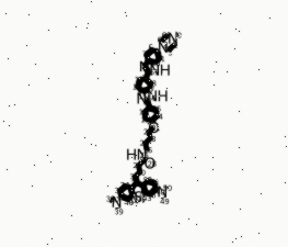 CN1CCN(c2ccc3nc(-c4ccc5nc(-c6ccc(OCCCCNC(=O)CCC=C7c8ccc(N(C)C)cc8[Si](C)(C)c8cc(N(C)C)ccc87)cc6)[nH]c5c4)[nH]c3c2)CC1